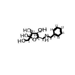 OCC1(O)O[C@H](CNCc2ccccc2)[C@@H](O)[C@@H]1O